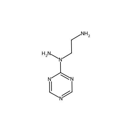 NCCN(N)c1ncncn1